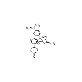 CC(C)c1ccc([C@](O)(c2cncc(C3CCC(=O)CC3)c2)C2(C)CN(C)C2)cc1